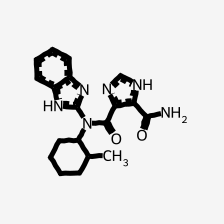 CC1CCCCC1N(C(=O)c1nc[nH]c1C(N)=O)c1nc2ccccc2[nH]1